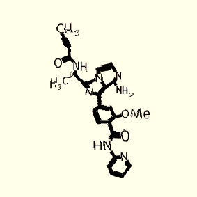 CC#CC(=O)N[C@@H](C)c1nc(-c2ccc(C(=O)Nc3ccccn3)c(OC)c2)c2c(N)nccn12